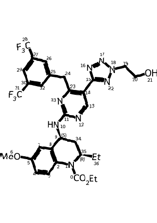 CCOC(=O)N1c2ccc(OC)cc2[C@@H](Nc2ncc(-c3nnn(CCO)n3)c(Cc3cc(C(F)(F)F)cc(C(F)(F)F)c3)n2)C[C@H]1CC